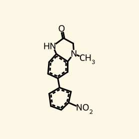 CN1CC(=O)Nc2ccc(-c3cccc([N+](=O)[O-])c3)cc21